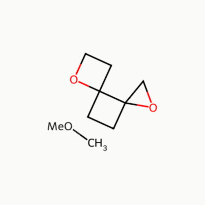 C1CC2(CCC23CO3)O1.COC